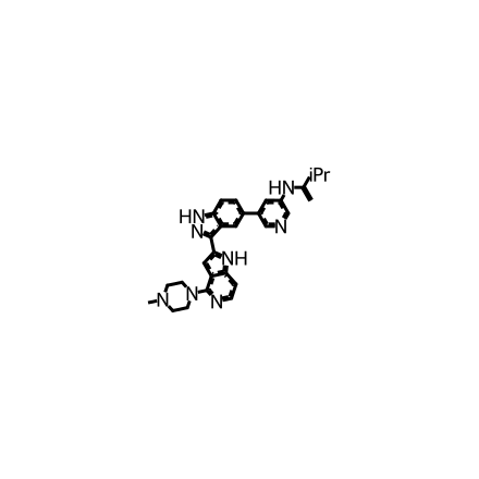 C=C(Nc1cncc(-c2ccc3[nH]nc(-c4cc5c(N6CCN(C)CC6)nccc5[nH]4)c3c2)c1)C(C)C